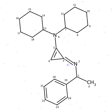 CC(/N=c1\cc1N(C1CCCCC1)C1CCCCC1)c1ccccc1